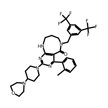 Cc1ccccc1-c1nc(N2CCC(N3CCOCC3)CC2)nc2c1C(=O)N(Cc1cc(C(F)(F)F)cc(C(F)(F)F)c1)CCCN2